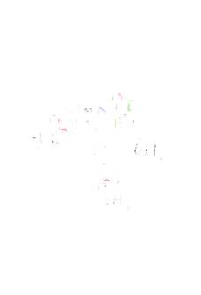 CCCCC(F)(F)C(=O)/C=C/[C@H]1CCC(OC(C)=O)C1CCCCCCC(=O)OC